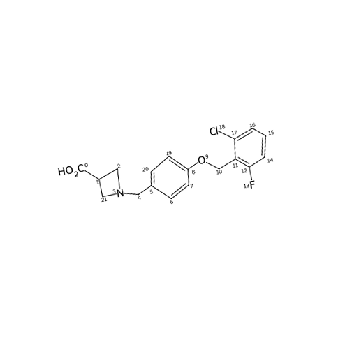 O=C(O)C1CN(Cc2ccc(OCc3c(F)cccc3Cl)cc2)C1